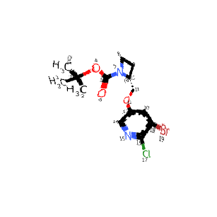 CC(C)(C)OC(=O)N1CC[C@@H]1COc1cnc(Cl)c(Br)c1